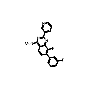 CNc1nc(-c2cccnc2)nc2c(F)c(-c3cccc(F)c3)ccc12